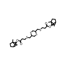 CC1(C)C2CCC1(C)C(OC(=O)CCSCC1CSC(CSCCC(=O)OC3CC4CCC3(C)C4(C)C)CS1)C2